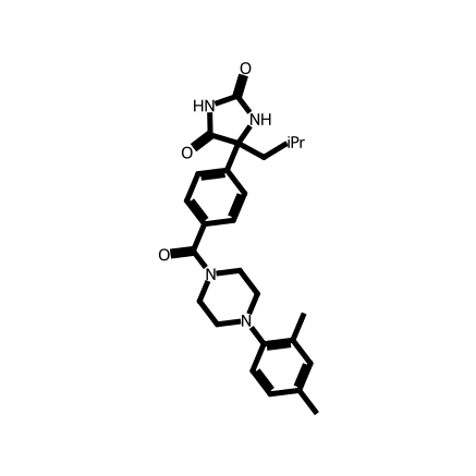 Cc1ccc(N2CCN(C(=O)c3ccc(C4(CC(C)C)NC(=O)NC4=O)cc3)CC2)c(C)c1